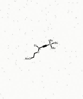 CCC[CH2][Sn]([C]#C[C@H](CC)OCCOC)([CH2]CCC)[CH2]CCC